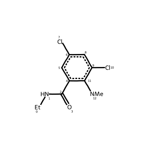 CCNC(=O)c1cc(Cl)cc(Cl)c1NC